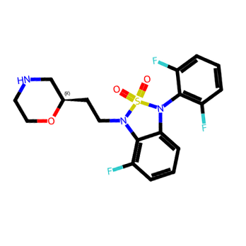 O=S1(=O)N(CC[C@@H]2CNCCO2)c2c(F)cccc2N1c1c(F)cccc1F